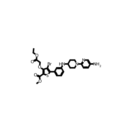 CCOC(=O)COc1c(C(=O)OC)sc(-c2cccc(NC3CCN(c4ccc(N)cn4)CC3)c2)c1Br